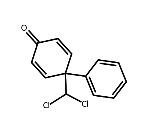 O=C1C=CC(c2ccccc2)(C(Cl)Cl)C=C1